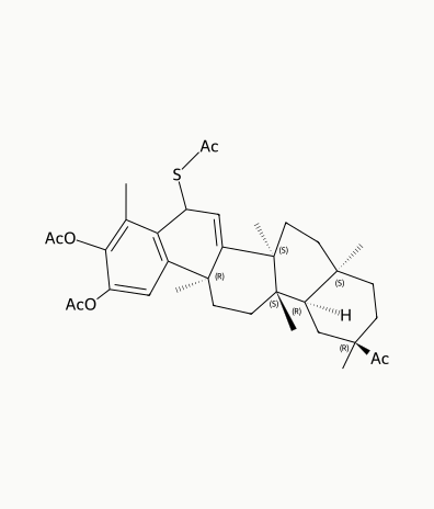 CC(=O)Oc1cc2c(c(C)c1OC(C)=O)C(SC(C)=O)C=C1[C@@]2(C)CC[C@@]2(C)[C@@H]3C[C@](C)(C(C)=O)CC[C@]3(C)CC[C@]12C